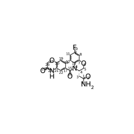 NC(=O)C[C@H]1COc2cc(F)ccc2N1C(=O)c1ccc2c(c1)NC(=O)CO2